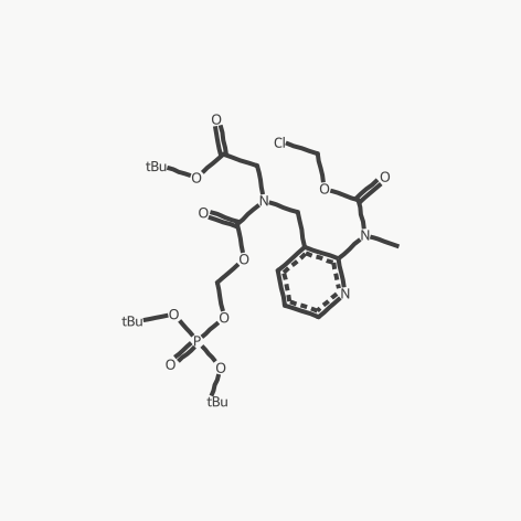 CN(C(=O)OCCl)c1ncccc1CN(CC(=O)OC(C)(C)C)C(=O)OCOP(=O)(OC(C)(C)C)OC(C)(C)C